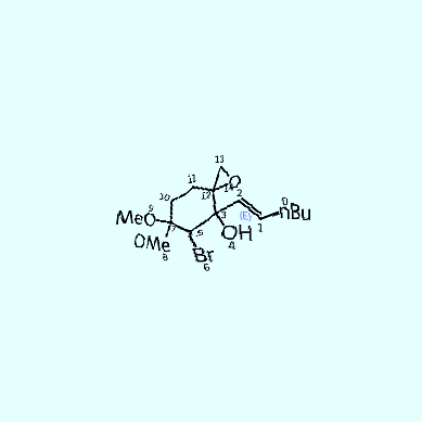 CCCC/C=C/C1(O)C(Br)C(OC)(OC)CCC12CO2